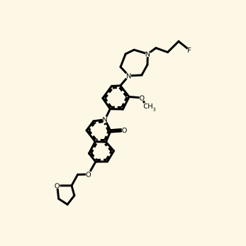 COc1cc(-n2ccc3cc(OCC4CCCO4)ccc3c2=O)ccc1N1CCCN(CCCF)CC1